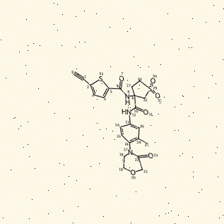 C#Cc1ccc(C(=O)NC2(C(=O)Nc3ccc(N4CCOCC4=O)c(C)c3)CCS(=O)(=O)C2)s1